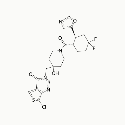 O=C([C@H]1CCC(F)(F)C[C@@H]1c1cnco1)N1CCC(O)(Cn2cnc3c(Cl)scc3c2=O)CC1